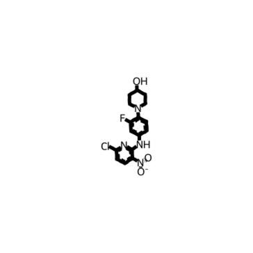 O=[N+]([O-])c1ccc(Cl)nc1Nc1ccc(N2CCC(O)CC2)c(F)c1